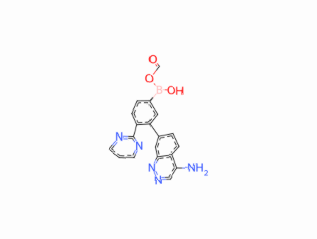 Nc1cnnc2cc(-c3cc(B(O)OC=O)ccc3-c3ncccn3)ccc12